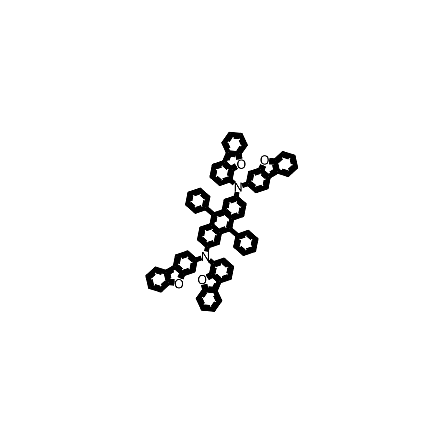 c1ccc(-c2c3ccc(N(c4ccc5c(c4)oc4ccccc45)c4cccc5c4oc4ccccc45)cc3c(-c3ccccc3)c3ccc(N(c4ccc5c(c4)oc4ccccc45)c4cccc5c4oc4ccccc45)cc23)cc1